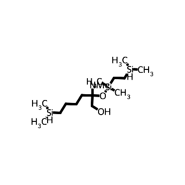 CNC(CO)(CCCC[SiH](C)C)O[Si](C)(C)CC[SiH](C)C